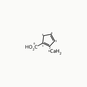 O=C(O)C1=CC=CC1.[CaH2]